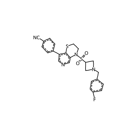 N#Cc1ccc(-c2cncc3c2SCCN3S(=O)(=O)C2CN(Cc3ccc(F)cc3)C2)cc1